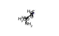 C/C=C\C(=O)N(C=O)CCCCCC(=O)NC(C)CCCCN